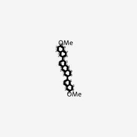 COc1ccc2cc(-c3ccc4cc5cc(-c6ccc7cc(OC)ccc7c6)ccc5cc4c3)ccc2c1